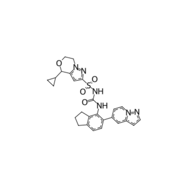 O=C(Nc1c(-c2ccn3nccc3c2)ccc2c1CCC2)NS(=O)(=O)c1cc2n(n1)CCOC2C1CC1